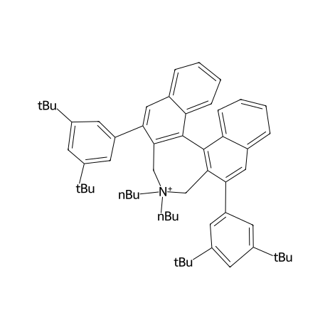 CCCC[N+]1(CCCC)Cc2c(-c3cc(C(C)(C)C)cc(C(C)(C)C)c3)cc3ccccc3c2-c2c(c(-c3cc(C(C)(C)C)cc(C(C)(C)C)c3)cc3ccccc23)C1